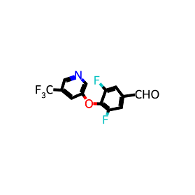 O=Cc1cc(F)c(Oc2cncc(C(F)(F)F)c2)c(F)c1